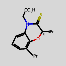 CC(C)c1cccc2c1O[C@H](C(C)C)C(=S)N2CC(=O)O